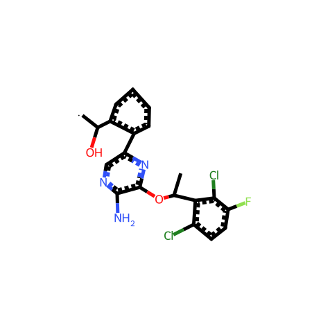 [CH2]C(O)c1ccccc1-c1cnc(N)c(OC(C)c2c(Cl)ccc(F)c2Cl)n1